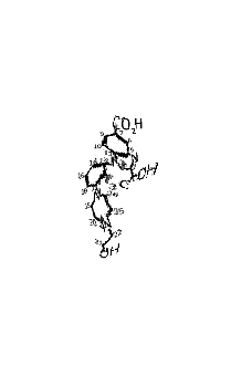 CC(O)c1nc2cc(C(=O)O)ccc2n1-c1cccc(N2CCN(CCO)CC2)c1